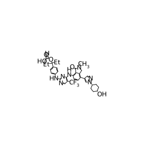 CCC(CC)(O[PH](=O)O)c1ccc(Nc2ncc(C(F)(F)F)c(Nc3ccc(-c4cnn([C@H]5CC[C@H](O)CC5)c4)c4c3C(=O)N(C)C4)n2)cc1